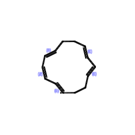 [C]1=C/C=C\C=C\CC/C=C/C=C/CC/1